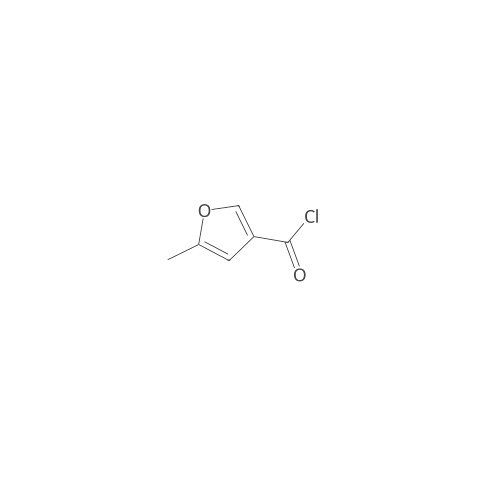 Cc1cc(C(=O)Cl)co1